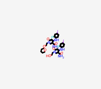 NC(=O)c1cn(CCO)c(=O)cc1Nc1ccc(I)cc1F.NC(=O)c1cn(CCOC2CCCCO2)c(=O)cc1Nc1ccc(I)cc1F